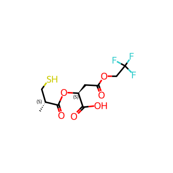 C[C@H](CS)C(=O)O[C@@H](CC(=O)OCC(F)(F)F)C(=O)O